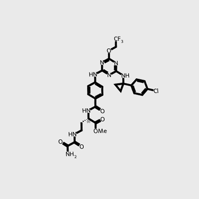 COC(=O)[C@H](CCNC(=O)C(N)=O)NC(=O)c1ccc(Nc2nc(NC3(c4ccc(Cl)cc4)CC3)nc(OCC(F)(F)F)n2)cc1